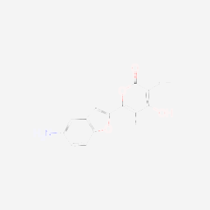 Cc1c(-c2cc3cc(N)ccc3o2)oc(=O)c(C)c1O